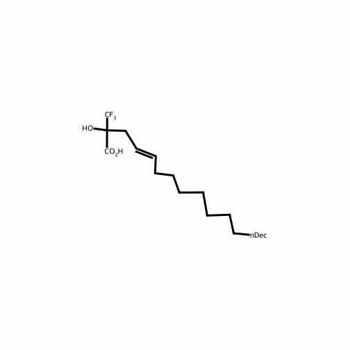 CCCCCCCCCCCCCCCCCC=CCC(O)(C(=O)O)C(F)(F)F